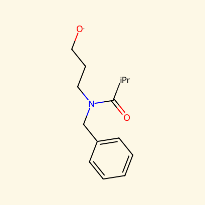 CC(C)C(=O)N(CCC[O])Cc1ccccc1